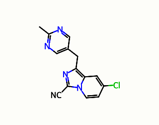 Cc1ncc(Cc2nc(C#N)n3ccc(Cl)cc23)cn1